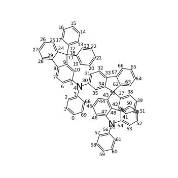 c1ccc(N(c2ccc3c(c2)C(c2ccccc2)(c2ccccc2)c2ccccc2-3)c2ccc3c(c2)C(c2ccccc2)(c2cccc4c2c2ccccc2n4-c2ccccc2)c2ccccc2-3)cc1